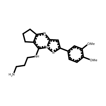 COc1ccc(-c2cc3nc4c(c(NCCCN)n3n2)CCC4)cc1OC